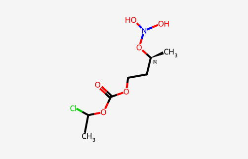 CC(Cl)OC(=O)OCC[C@H](C)ON(O)O